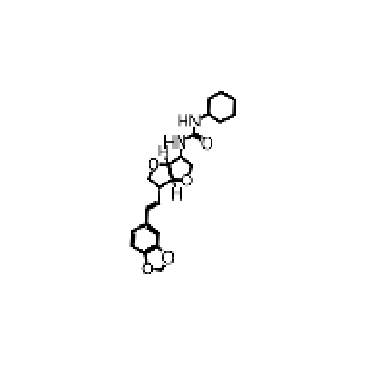 O=C(NC1CCCCC1)N[C@H]1CO[C@H]2[C@@H]1OC[C@@H]2C=Cc1ccc2c(c1)OCO2